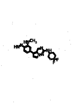 CNc1cc(-c2ccn3nc(NC4CCC(F)(F)CC4)ncc23)ccc1N=N